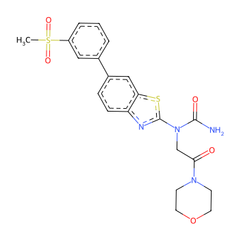 CS(=O)(=O)c1cccc(-c2ccc3nc(N(CC(=O)N4CCOCC4)C(N)=O)sc3c2)c1